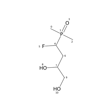 CP(C)(=O)C(F)CC(O)CO